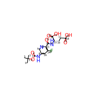 CC(C)(C)OC(=O)Nc1cnc(C(=O)N[C@@H](CCC(=O)O)C(=O)O)c(F)c1